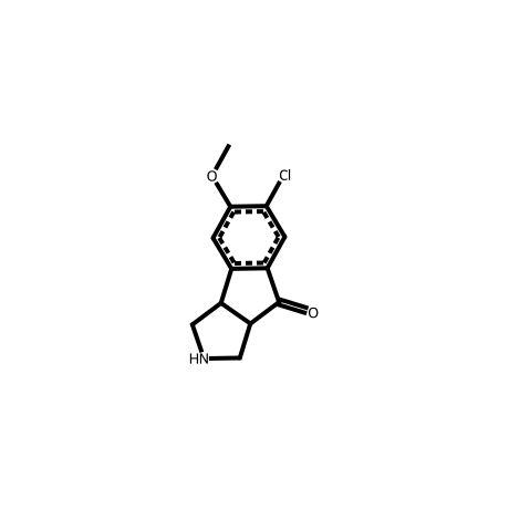 COc1cc2c(cc1Cl)C(=O)C1CNCC21